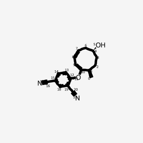 C=C1CC[C@@H](O)C/C=C\C=C/1Oc1ccc(C#N)cc1C#N